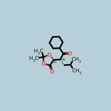 CC(C)C[C@@H](C(=O)[C]1CCCCC1)[C@@H]1OC(C)(C)OC1=O